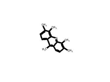 Cc1ccc2c(C)c3ccc(C)c(C)c3nc2c1C